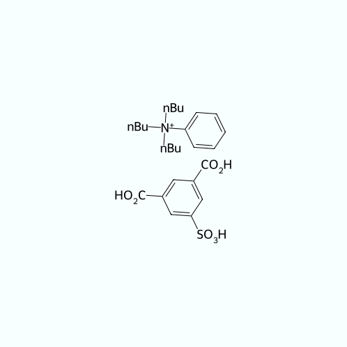 CCCC[N+](CCCC)(CCCC)c1ccccc1.O=C(O)c1cc(C(=O)O)cc(S(=O)(=O)O)c1